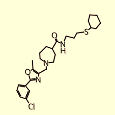 Cc1oc(-c2cccc(Cl)c2)nc1CN1CCCC(C(=O)NCCCSC2CCCCC2)CC1